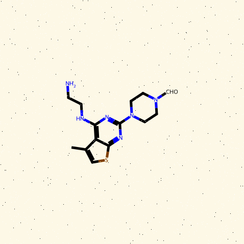 Cc1csc2nc(N3CCN(C=O)CC3)nc(NCCN)c12